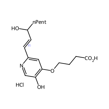 CCCCCC(O)/C=C/c1cc(OCCCC(=O)O)c(O)cn1.Cl